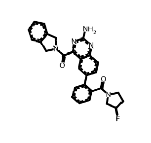 Nc1nc(C(=O)N2Cc3ccccc3C2)c2cc(-c3ccccc3C(=O)N3CCC(F)C3)ccc2n1